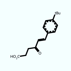 CC(C)(C)c1ccc(C=CC(=O)CCC(=O)O)cc1